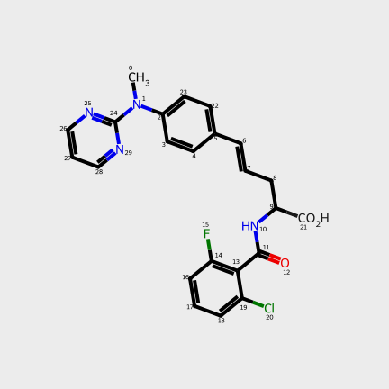 CN(c1ccc(C=CCC(NC(=O)c2c(F)cccc2Cl)C(=O)O)cc1)c1ncccn1